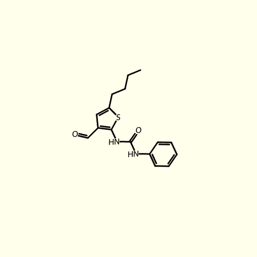 CCCCc1cc(C=O)c(NC(=O)Nc2ccccc2)s1